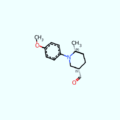 COc1ccc(N2C[C@@H](C=O)CC[C@H]2C)cc1